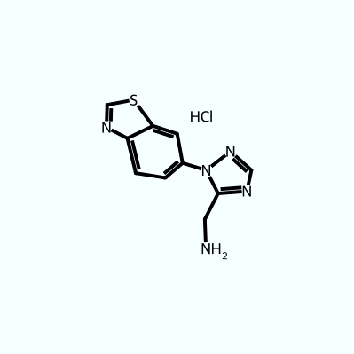 Cl.NCc1ncnn1-c1ccc2ncsc2c1